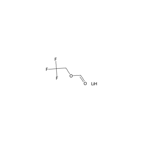 O=COCC(F)(F)F.[LiH]